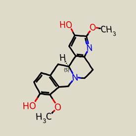 COc1nc2c(cc1O)[C@@H]1Cc3ccc(O)c(OC)c3CN1CC2